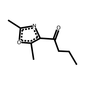 CCCC(=O)c1nc(C)oc1C